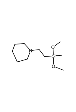 CO[Si](C)(CCN1CCCCC1)OC